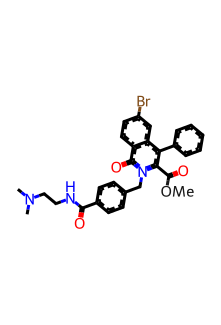 COC(=O)c1c(-c2ccccc2)c2cc(Br)ccc2c(=O)n1Cc1ccc(C(=O)NCCN(C)C)cc1